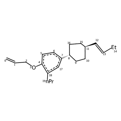 C=CCOc1ccc([C@H]2CC[C@H](C=CCC)CC2)cc1CCC